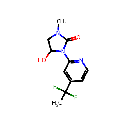 CN1CC(O)N(c2cc(C(C)(F)F)ccn2)C1=O